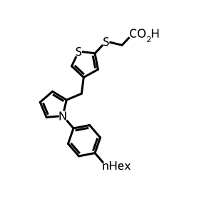 CCCCCCc1ccc(-n2cccc2Cc2csc(SCC(=O)O)c2)cc1